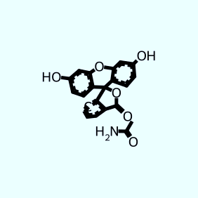 CC(N)=O.O=C1OC2(c3ccc(O)cc3Oc3cc(O)ccc32)c2ccccc21